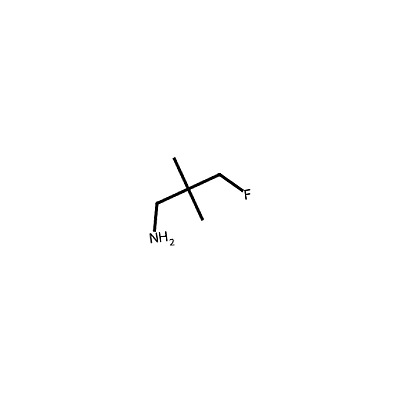 CC(C)(CN)CF